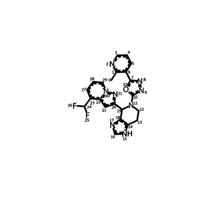 Cc1ncccc1-c1nnc(N2CCc3[nH]cnc3C2c2cc3c(C(F)F)cccn3n2)o1